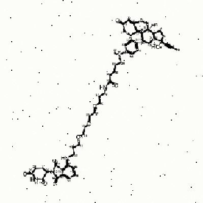 CC#C[C@]1(O)CCC2[C@@H]3CCC4=CC(=O)CCC4=C3[C@@H](c3ccc(N(C)CCCCC(=O)NCCCOCCOCCOCCCNc4cccc5c4C(=O)N(C4CCC(=O)NC4=O)C5=O)cc3)C[C@@]21C